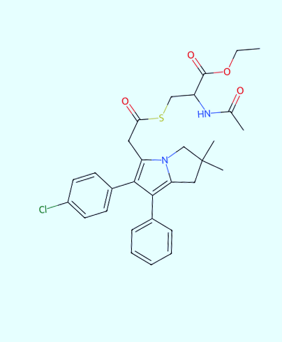 CCOC(=O)C(CSC(=O)Cc1c(-c2ccc(Cl)cc2)c(-c2ccccc2)c2n1CC(C)(C)C2)NC(C)=O